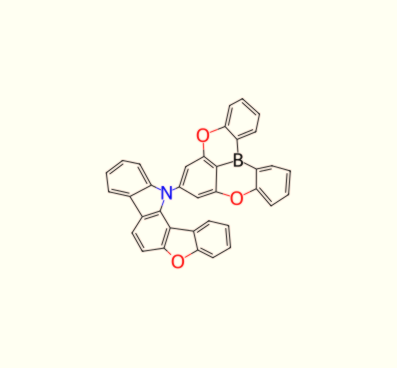 c1ccc2c(c1)Oc1cc(-n3c4ccccc4c4ccc5oc6ccccc6c5c43)cc3c1B2c1ccccc1O3